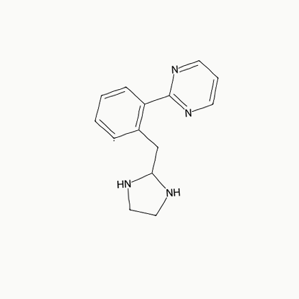 [c]1cccc(-c2ncccn2)c1CC1NCCN1